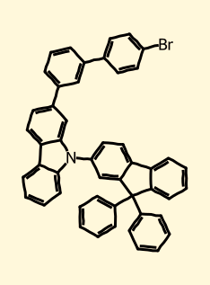 Brc1ccc(-c2cccc(-c3ccc4c5ccccc5n(-c5ccc6c(c5)C(c5ccccc5)(c5ccccc5)c5ccccc5-6)c4c3)c2)cc1